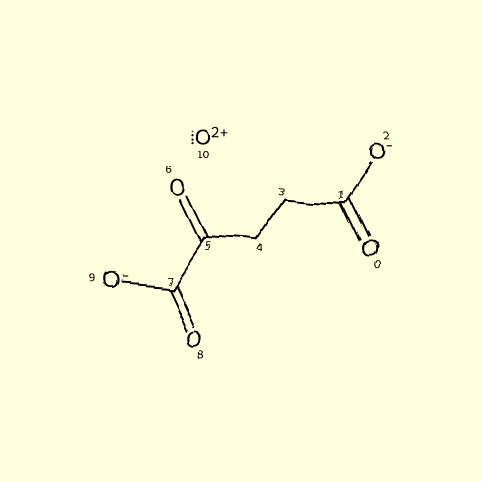 O=C([O-])CCC(=O)C(=O)[O-].[O+2]